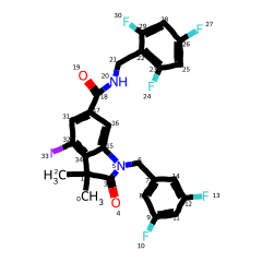 CC1(C)C(=O)N(Cc2cc(F)cc(F)c2)c2cc(C(=O)NCc3c(F)cc(F)cc3F)cc(I)c21